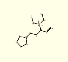 C=CC(CCN1CCCC1)[SiH](CC)CC